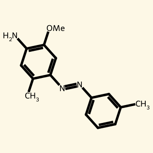 COc1cc(/N=N/c2cccc(C)c2)c(C)cc1N